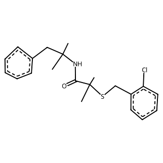 CC(C)(Cc1ccccc1)NC(=O)C(C)(C)SCc1ccccc1Cl